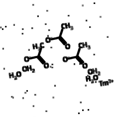 CC(=O)[O-].CC(=O)[O-].CC(=O)[O-].O.O.O.O.[Tm+3]